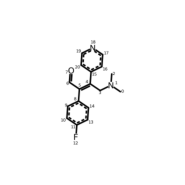 CN(C)CC(=C(C=O)c1ccc(F)cc1)c1ccncc1